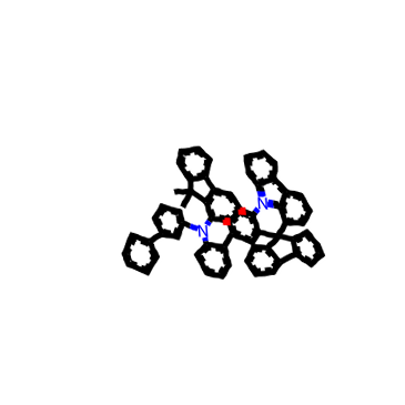 CC1(C)c2ccccc2-c2cccc(N(c3cccc(-c4ccccc4)c3)c3ccccc3-c3ccc4c(c3)C3(c5ccccc5-c5ccccc53)c3cccc5c6ccccc6n-4c35)c21